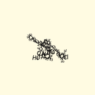 COCCn1c(C(=O)O)cc2cc(C)cc(N3C[C@@H](C)n4c(c(CCCOc5cc(C)c(Cl)c(C)c5)c5ccc(Cl)c(-c6c(C)nc(COCc7ccccc7)nc6C)c54)C3=O)c21